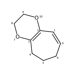 C1=CC2=C(CCC1)OCCO2